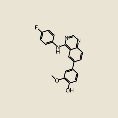 COc1cc(-c2ccc3ncnc(Nc4ccc(F)cc4)c3c2)ccc1O